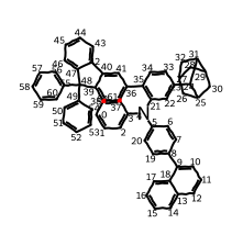 c1ccc(N(c2ccc(-c3cccc4ccccc34)cc2)c2cc(C3C4CC5CC(C4)C3C5)ccc2-c2ccc3c(c2)-c2ccccc2C3(c2ccccc2)c2ccccc2)cc1